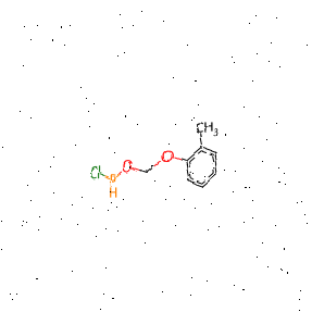 Cc1ccccc1OCOPCl